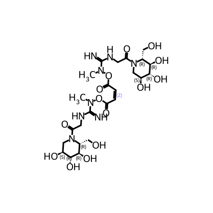 CN(OC(=O)/C=C\C(=O)ON(C)C(=N)NCC(=O)N1C[C@H](O)[C@@H](O)[C@H](O)[C@H]1CO)C(=N)NCC(=O)N1C[C@H](O)[C@@H](O)[C@H](O)[C@H]1CO